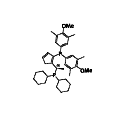 COc1c(C)cc(P(C2=C([C@@H](C)P(C3CCCCC3)C3CCCCC3)CC=C2)c2cc(C)c(OC)c(C)c2)cc1C